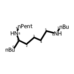 [CH2]CCCC(CCCCNCCCC)NCCCCC